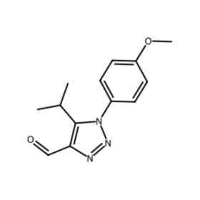 COc1ccc(-n2nnc(C=O)c2C(C)C)cc1